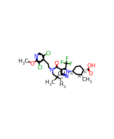 COc1ncc(Cl)c(CCN(CC(C)(C)C)C(=O)c2cnn([C@H]3CC[C@H](C(=O)O)[C@H](C)C3)c2C(F)(F)F)c1Cl